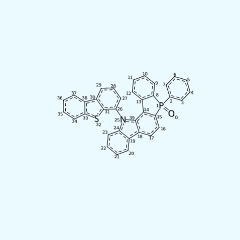 O=P1(c2ccccc2)c2ccccc2-c2c1ccc1c3ccccc3n(-c3cccc4c3sc3ccccc34)c21